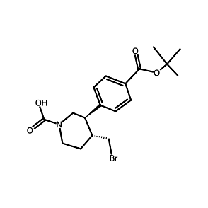 CC(C)(C)OC(=O)c1ccc([C@@H]2CN(C(=O)O)CC[C@H]2CBr)cc1